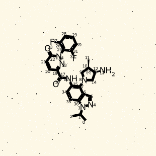 CC(C)n1ncc2c(N3C[C@@H](C)[C@@H](N)C3)c(NC(=O)c3ccc(=O)n(-c4c(F)cccc4F)n3)ccc21